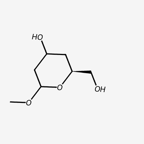 COC1CC(O)C[C@@H](CO)O1